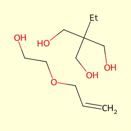 C=CCOCCO.CCC(CO)(CO)CO